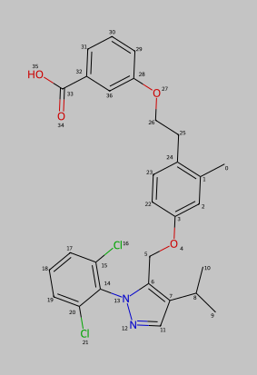 Cc1cc(OCc2c(C(C)C)cnn2-c2c(Cl)cccc2Cl)ccc1CCOc1cccc(C(=O)O)c1